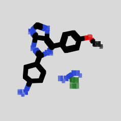 COc1ccc(-c2[nH]c(C3CCC(N)CC3)nc3ncnc2-3)cc1.Cl.Cl.NN